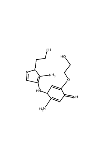 N=C1C=C(N)C(Nc2cnn(CCO)c2N)C=C1OCCO